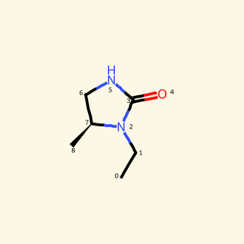 CCN1C(=O)NC[C@@H]1C